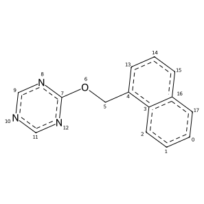 c1ccc2c(COc3ncncn3)cccc2c1